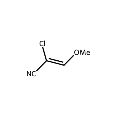 COC=C(Cl)C#N